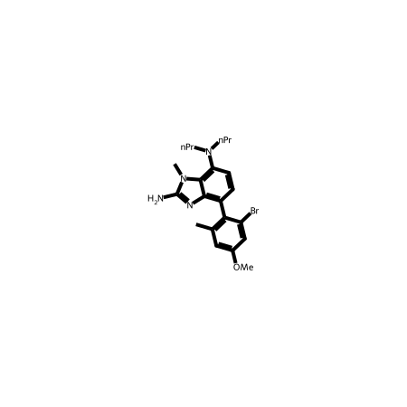 CCCN(CCC)c1ccc(-c2c(C)cc(OC)cc2Br)c2nc(N)n(C)c12